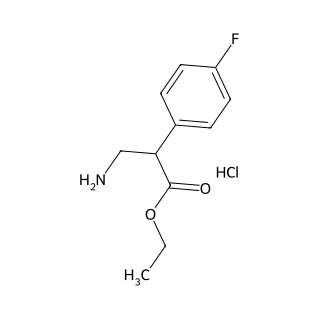 CCOC(=O)C(CN)c1ccc(F)cc1.Cl